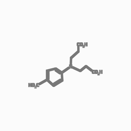 O=C(O)CCN(CCC(=O)O)c1ccc(C(=O)O)cc1